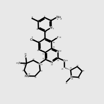 Cc1cc(N)nc(-c2c(Cl)cc3c(N4CCNCC(F)(F)C4)nc(OC[C@@H]4CCCN4C)nc3c2F)c1